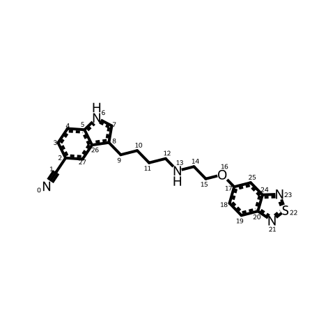 N#Cc1ccc2[nH]cc(CCCCNCCOc3ccc4nsnc4c3)c2c1